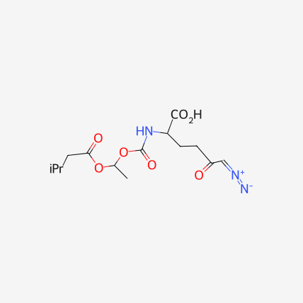 CC(C)CC(=O)OC(C)OC(=O)NC(CCC(=O)C=[N+]=[N-])C(=O)O